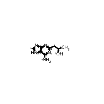 CC(O)Cc1nc(N)c2[nH]cnc2n1